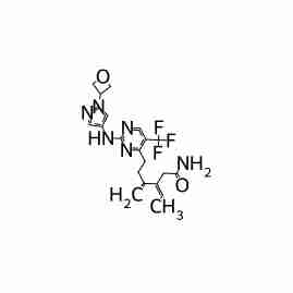 C=C(CCc1nc(Nc2cnn(C3COC3)c2)ncc1C(F)(F)F)/C(=C\C)CC(N)=O